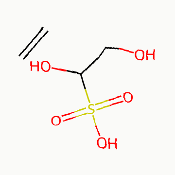 C=C.O=S(=O)(O)C(O)CO